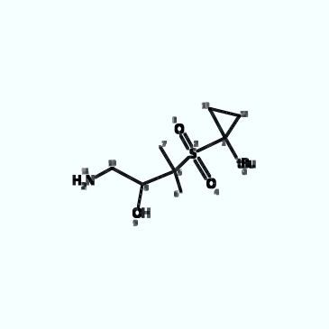 CC(C)(C)C1(S(=O)(=O)C(C)(C)C(O)CN)CC1